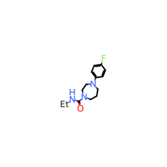 CCNC(=O)N1CCCN(c2ccc(F)cc2)CC1